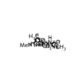 CNCc1n[nH]c2c(S(=O)(=O)N(C)CC(=O)Nc3ccn(C)c(=O)c3)cc(C)cc12